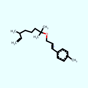 C=CC(C)CCCC(C)(C)OC/C=C/c1ccc(C)cc1